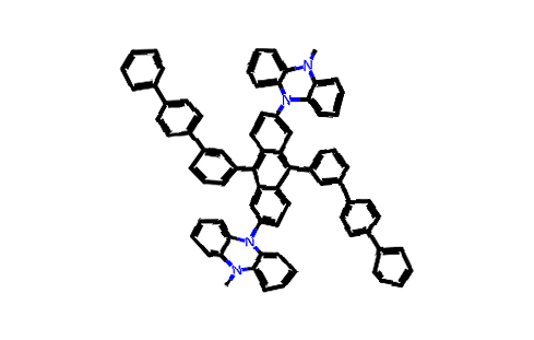 CN1c2ccccc2N(c2ccc3c(-c4cccc(-c5ccc(-c6ccccc6)cc5)c4)c4cc(N5c6ccccc6N(C)c6ccccc65)ccc4c(-c4cccc(-c5ccc(-c6ccccc6)cc5)c4)c3c2)c2ccccc21